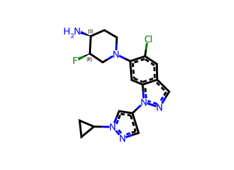 N[C@H]1CCN(c2cc3c(cnn3-c3cnn(C4CC4)c3)cc2Cl)C[C@H]1F